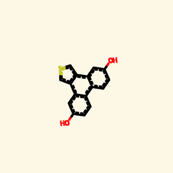 Oc1ccc2c3ccc(O)cc3c3cscc3c2c1